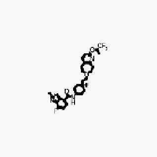 C[C@@H](Oc1ccc2c(n1)CCN(CC[C@]1(F)CC[C@@H](NC(=O)c3ccc(F)c4nn(C)cc34)CC1)CC2)C(F)(F)F